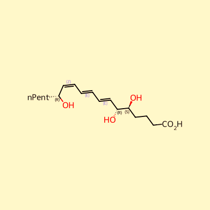 CCCCC[C@@H](O)\C=C/C=C/C=C/[C@@H](O)[C@@H](O)CCCC(=O)O